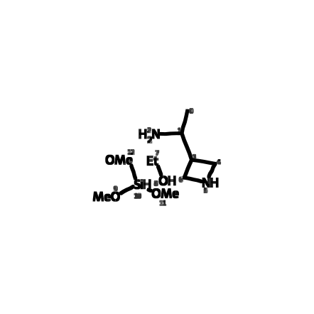 CC(N)C1CNC1.CCO.CO[SiH](OC)OC